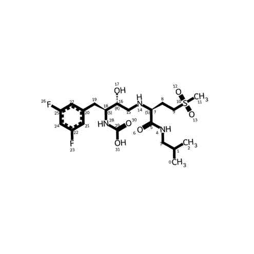 CC(C)CNC(=O)[C@H](CCS(C)(=O)=O)NC[C@@H](O)[C@H](Cc1cc(F)cc(F)c1)NC(=O)O